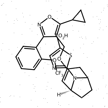 O=C(O)c1cnc(N2C3CC[C@H]2C=C(OCc2c(-c4ccccc4OC(F)(F)F)noc2C2CC2)C3)s1